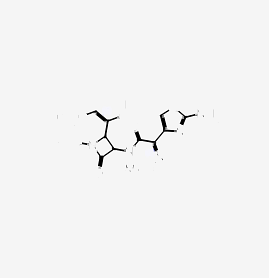 CCOC(=O)/C=C(/C)C1C(NC(=O)/C(=N\OC)c2csc(N)n2)C(=O)N1S(=O)(=O)O